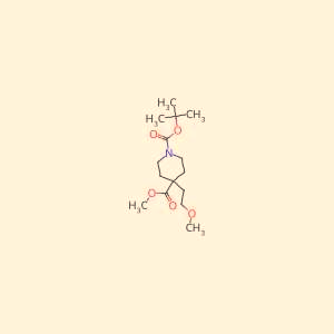 COCCC1(C(=O)OC)CCN(C(=O)OC(C)(C)C)CC1